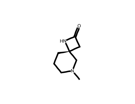 CN1CCC[C@@]2(CC(=O)N2)C1